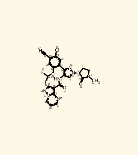 CN1CC[C@H](n2cc(NC(=O)c3cnn4cccnc34)c(-c3cc(Cl)c(C#N)cc3OC(F)F)n2)C1=O